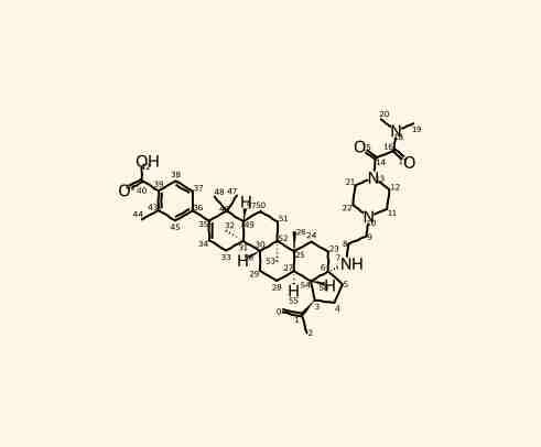 C=C(C)[C@@H]1CC[C@]2(NCCN3CCN(C(=O)C(=O)N(C)C)CC3)CC[C@]3(C)[C@H](CC[C@@H]4[C@@]5(C)CC=C(c6ccc(C(=O)O)c(C)c6)C(C)(C)[C@@H]5CC[C@]43C)[C@@H]12